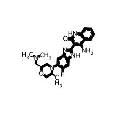 C[C@H]1CO[C@@H](CN(C)C)CN1c1cc2nc(-c3c(N)c4ccccc4[nH]c3=O)[nH]c2cc1F